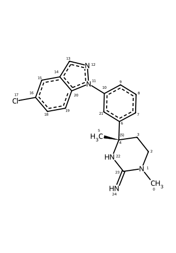 CN1CC[C@@](C)(c2cccc(-n3ncc4cc(Cl)ccc43)c2)NC1=N